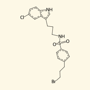 O=S(=O)(NCCCc1c[nH]c2ccc(Cl)cc12)c1ccc(CCCBr)cc1